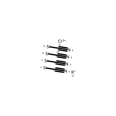 N#C[S-].N#C[S-].N#C[S-].N#C[S-].[Cr+3].[K+]